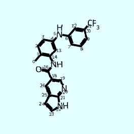 Cc1ccc(Nc2cccc(C(F)(F)F)c2)cc1NC(=O)c1cnc2[nH]ccc2c1